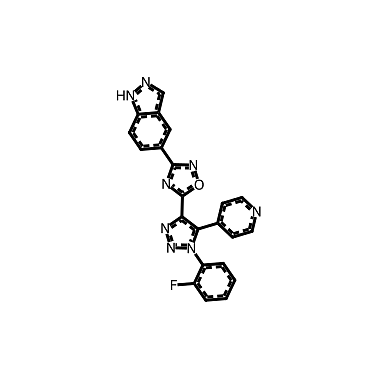 Fc1ccccc1-n1nnc(-c2nc(-c3ccc4[nH]ncc4c3)no2)c1-c1ccncc1